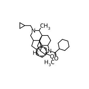 COc1ccc2c(c1)C13C(C2)CN(CC2CC2)C(C)C12CCC1C3[C@@H](CN1C(=O)C1CCCCC1)C2